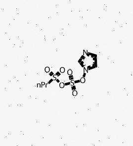 CCCS(=O)(=O)OS(=O)(=O)On1ccnc1